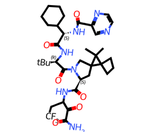 CC(C)(C)[C@@H](NC(=O)[C@@H](NC(=O)c1cnccn1)C1CCCCC1)C(=O)N1CC2(C[C@H]1C(=O)NC(CC(F)(F)F)C(=O)C(N)=O)C(C)(C)C21CCC1